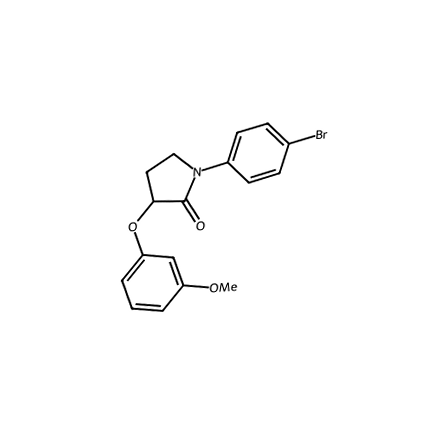 COc1cccc(OC2CCN(c3ccc(Br)cc3)C2=O)c1